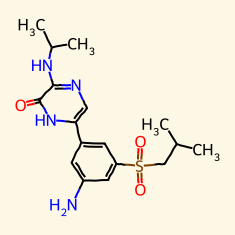 CC(C)CS(=O)(=O)c1cc(N)cc(-c2cnc(NC(C)C)c(=O)[nH]2)c1